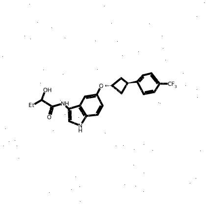 CCC(O)C(=O)Nc1c[nH]c2ccc(O[C@H]3C[C@H](c4ccc(C(F)(F)F)cc4)C3)cc12